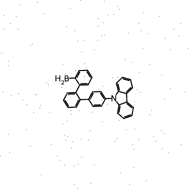 Bc1ccccc1-c1ccccc1-c1ccc(-n2c3ccccc3c3ccccc32)cc1